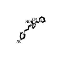 N#CC(C#N)=C1N(CCCN2CCC(C#N)CC2)CCN1CCN1CC=CCC1